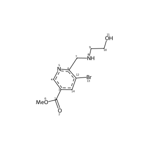 COC(=O)c1cnc(CNCCO)c(Br)c1